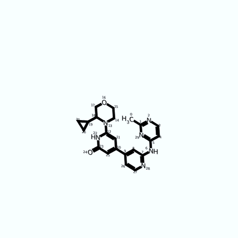 Cc1nccc(Nc2cc(-c3cc(N4CCOCC4C4CC4)[nH]c(=O)c3)ccn2)n1